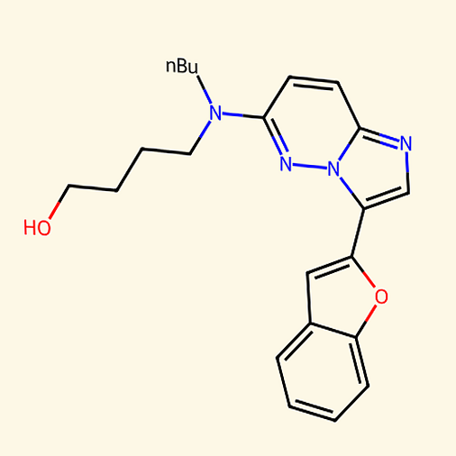 CCCCN(CCCCO)c1ccc2ncc(-c3cc4ccccc4o3)n2n1